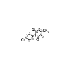 CN1C(=O)C(c2ccc(Cl)cc2)C(=O)C=C1C(F)(F)F